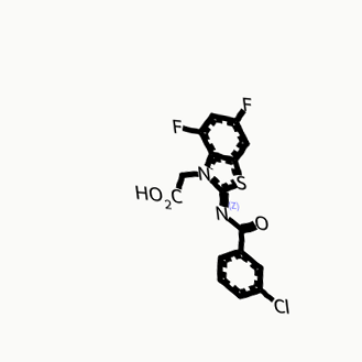 O=C(O)Cn1/c(=N/C(=O)c2cccc(Cl)c2)sc2cc(F)cc(F)c21